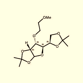 COCCO[C@@H]1[C@@H]([C@H]2COC(C)(C)O2)OC2OC(C)(C)O[C@@H]21